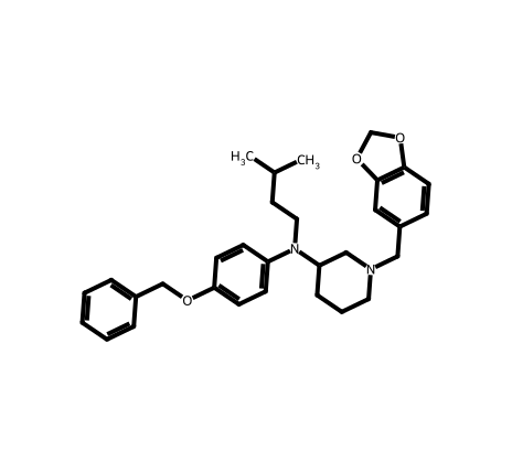 CC(C)CCN(c1ccc(OCc2ccccc2)cc1)C1CCCN(Cc2ccc3c(c2)OCO3)C1